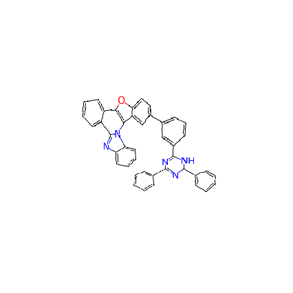 c1ccc(C2=NC(c3ccccc3)NC(c3cccc(-c4ccc5oc6c7ccccc7c7nc8ccccc8n7c6c5c4)c3)=N2)cc1